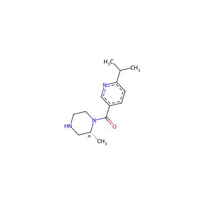 CC(C)c1ccc(C(=O)N2CCNC[C@H]2C)cn1